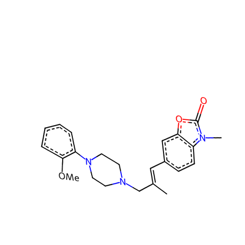 COc1ccccc1N1CCN(C/C(C)=C/c2ccc3c(c2)oc(=O)n3C)CC1